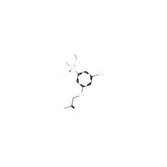 COP(C)(=O)c1cc(Br)cc(OCC(C)=O)c1